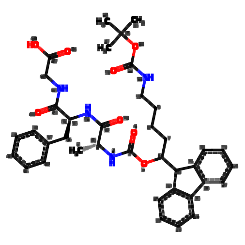 C[C@@H](NC(=O)OC(CCCCNC(=O)OC(C)(C)C)C1c2ccccc2-c2ccccc21)C(=O)N[C@@H](Cc1ccccc1)C(=O)NCC(=O)O